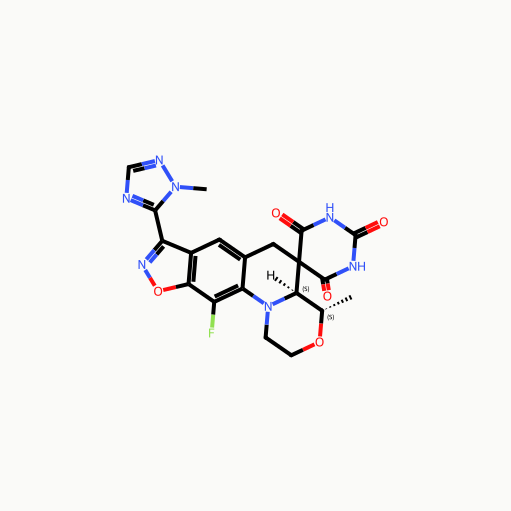 C[C@@H]1OCCN2c3c(cc4c(-c5ncnn5C)noc4c3F)CC3(C(=O)NC(=O)NC3=O)[C@@H]12